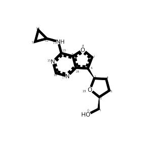 OC[C@@H]1CC[C@H](c2coc3c(NC4CC4)ncnc23)O1